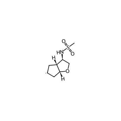 CS(=O)(=O)N[C@H]1CO[C@@H]2C[CH]C[C@H]12